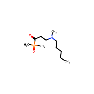 CCCCCN(C)CCC(=O)P(C)(C)=O